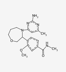 CNC(=O)c1ccc(C2COCCCN2c2cc(C)nc(N)n2)c(OC)c1